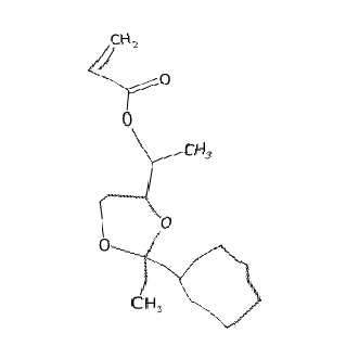 C=CC(=O)OC(C)C1COC(C)(C2CCCCC2)O1